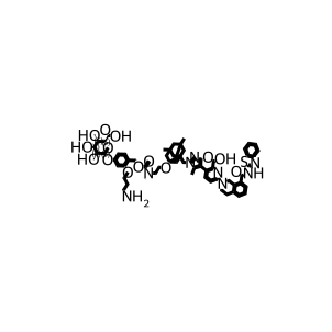 Cc1c(-c2ccc(N3CCc4cccc(C(=O)Nc5nc6ccccc6s5)c4C3)nc2C(=O)O)cnn1CC12CC3(C)CC(C)(C1)CC(OCCN(C)C(=O)OCc1ccc(O[C@@H]4O[C@H](C(=O)O)[C@@H](O)[C@H](O)[C@H]4O)cc1OCCCN)(C3)C2